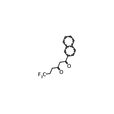 O=C(CCC(F)(F)F)CC(=O)c1ccc2ccccc2c1